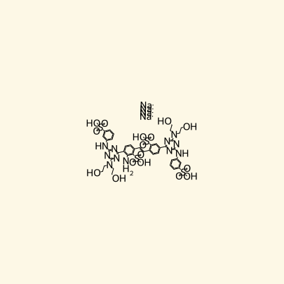 Nc1c(-c2nc(Nc3cccc(S(=O)(=O)O)c3)nc(N(CCO)CCO)n2)ccc(C=Cc2ccc(-c3nc(Nc4cccc(S(=O)(=O)O)c4)nc(N(CCO)CCO)n3)cc2S(=O)(=O)O)c1S(=O)(=O)O.[Na].[Na].[Na].[Na]